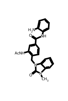 CC(=O)Nc1cc(C(=O)Nc2ccccc2N)ccc1Cn1c(=O)n(C)c2ccccc21